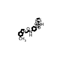 Cc1ccc2ccn(CC(=O)Nc3ccc(S(=O)(=O)Nc4nccs4)cc3)c2c1